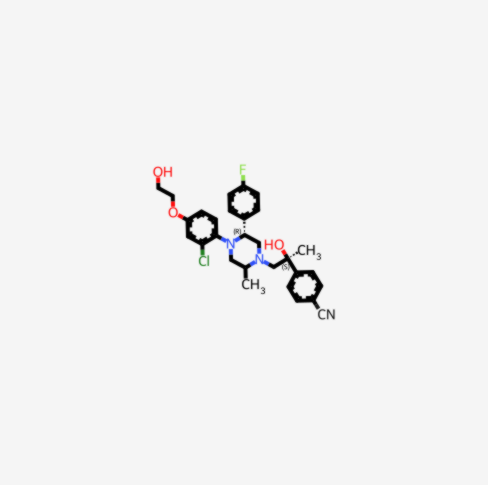 CC1CN(c2ccc(OCCO)cc2Cl)[C@H](c2ccc(F)cc2)CN1C[C@@](C)(O)c1ccc(C#N)cc1